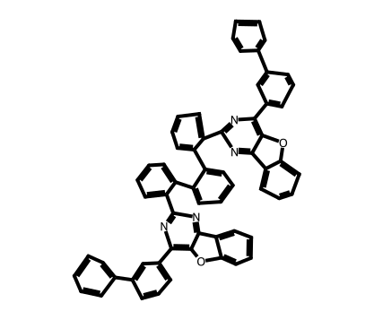 c1ccc(-c2cccc(-c3nc(-c4ccccc4-c4ccccc4-c4ccccc4-c4nc(-c5cccc(-c6ccccc6)c5)c5oc6ccccc6c5n4)nc4c3oc3ccccc34)c2)cc1